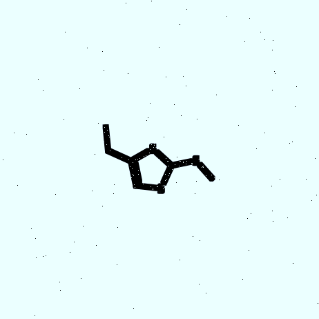 CCC1=CSC(SC)S1